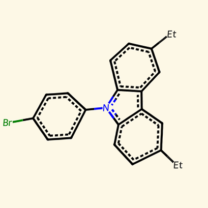 CCc1ccc2c(c1)c1cc(CC)ccc1n2-c1ccc(Br)cc1